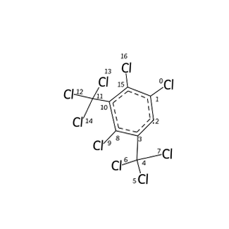 Clc1[c]c(C(Cl)(Cl)Cl)c(Cl)c(C(Cl)(Cl)Cl)c1Cl